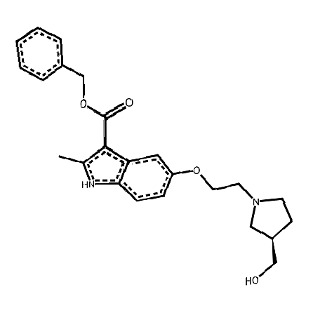 Cc1[nH]c2ccc(OCCN3CC[C@@H](CO)C3)cc2c1C(=O)OCc1ccccc1